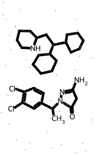 C1CCC(C(CC2CCCCN2)C2CCCCC2)CC1.CC(c1ccc(Cl)c(Cl)c1)N1N=C(N)CC1=O